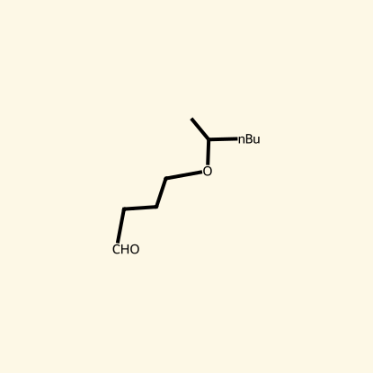 CCCCC(C)OCCCC=O